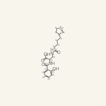 O=C(CCCCC1CCSS1)NCC(NC(=O)c1ccccc1O)C(=O)O